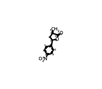 C=C1CC(c2ccc([N+](=O)[O-])cc2)OC1=O